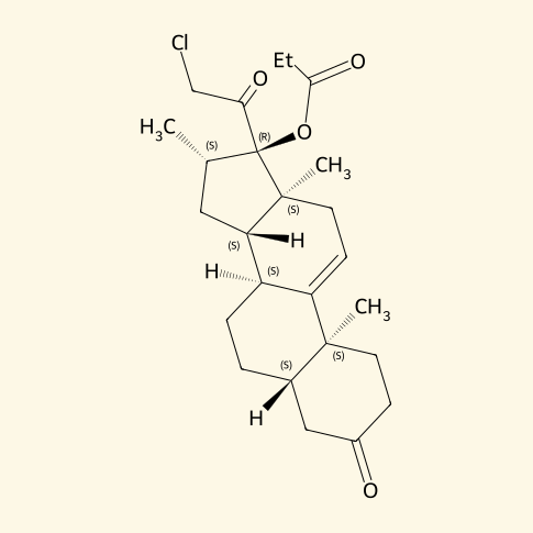 CCC(=O)O[C@]1(C(=O)CCl)[C@@H](C)C[C@H]2[C@@H]3CC[C@H]4CC(=O)CC[C@]4(C)C3=CC[C@@]21C